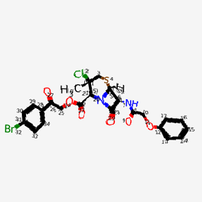 C[C@@]1(Cl)CS[C@@H]2[C@H](NC(=O)COc3ccccc3)C(=O)N2[C@H]1C(=O)OCC(=O)c1ccc(Br)cc1